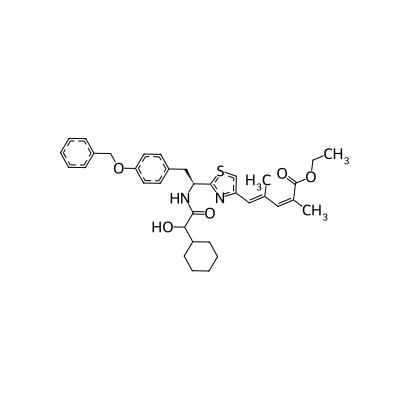 CCOC(=O)/C(C)=C\C(C)=C\c1csc([C@H](Cc2ccc(OCc3ccccc3)cc2)NC(=O)C(O)C2CCCCC2)n1